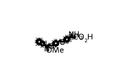 CO/N=C(\COc1ccc(COc2ccc(C(N)CC(=O)O)cc2)cc1)C1=Cc2ccccc2C1